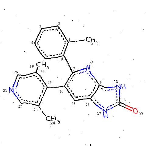 Cc1ccccc1-c1nc2[nH]c(=O)[nH]c2cc1-c1c(C)cncc1C